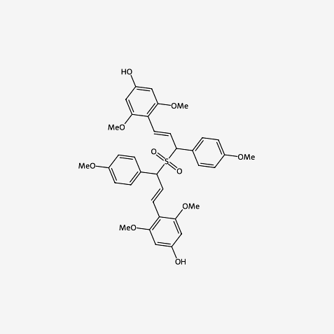 COc1ccc(C(/C=C/c2c(OC)cc(O)cc2OC)S(=O)(=O)C(/C=C/c2c(OC)cc(O)cc2OC)c2ccc(OC)cc2)cc1